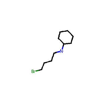 BrCCCC[N]C1CCCCC1